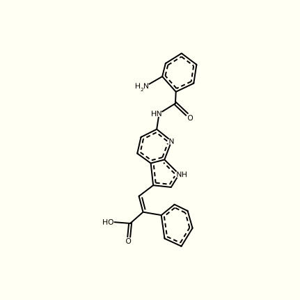 Nc1ccccc1C(=O)Nc1ccc2c(/C=C(/C(=O)O)c3ccccc3)c[nH]c2n1